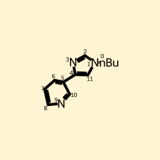 CCCCn1cnc(-c2cccnc2)c1